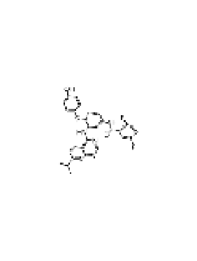 CC(C)c1ccc2c(Nc3cc(NC(=O)c4cc(F)ccc4F)ccc3Sc3ccc(O)cc3)ncnc2n1